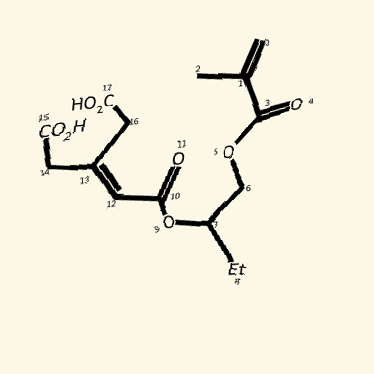 C=C(C)C(=O)OCC(CC)OC(=O)C=C(CC(=O)O)CC(=O)O